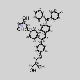 Cc1ccc(N(c2ccccc2)c2ccc(C=C(c3ccc(OC/C(O)=C\O)cc3)c3ccc(OCC(O)CO)cc3)cc2)cc1